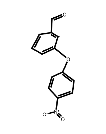 O=Cc1[c]c(Oc2ccc([N+](=O)[O-])cc2)ccc1